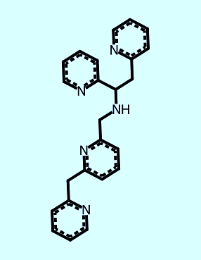 c1ccc(Cc2cccc(CNC(Cc3ccccn3)c3ccccn3)n2)nc1